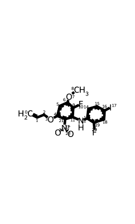 C=CCOc1cc(OC)c(F)c(Nc2ccc(I)cc2F)c1[N+](=O)[O-]